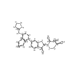 O=C1CCC(N2Cc3cc(-c4ccc(CN5CCCC5)c5cncn45)ccc3C2=O)C(=O)N1